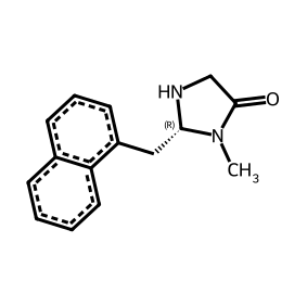 CN1C(=O)CN[C@H]1Cc1cccc2ccccc12